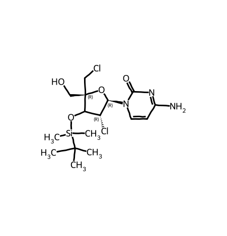 CC(C)(C)[Si](C)(C)OC1[C@@H](Cl)[C@H](n2ccc(N)nc2=O)O[C@@]1(CO)CCl